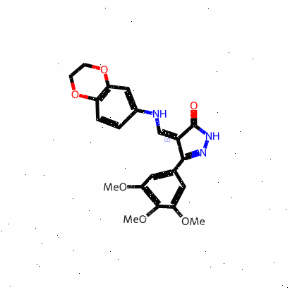 COc1cc(C2=NNC(=O)/C2=C\Nc2ccc3c(c2)OCCO3)cc(OC)c1OC